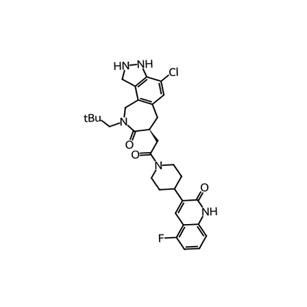 CC(C)(C)CN1Cc2c(cc(Cl)c3c2CNN3)C[C@@H](CC(=O)N2CCC(c3cc4c(F)cccc4[nH]c3=O)CC2)C1=O